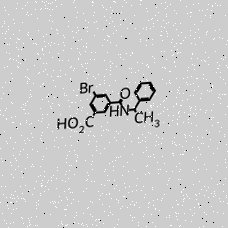 CC(NC(=O)c1cc(Br)cc(C(=O)O)c1)c1ccccc1